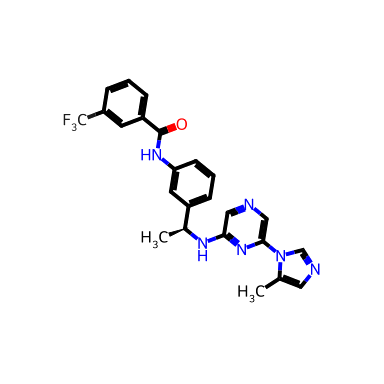 Cc1cncn1-c1cncc(N[C@@H](C)c2cccc(NC(=O)c3cccc(C(F)(F)F)c3)c2)n1